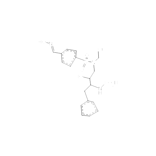 CC(C)CN(CC(O)C(Cc1ccccc1)NC(=O)O)S(=O)(=O)c1ccc(/C=N/O)cc1